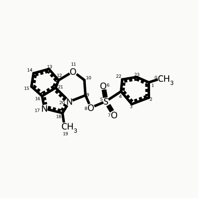 Cc1ccc(S(=O)(=O)OC2COc3cccc4nc(C)n2c34)cc1